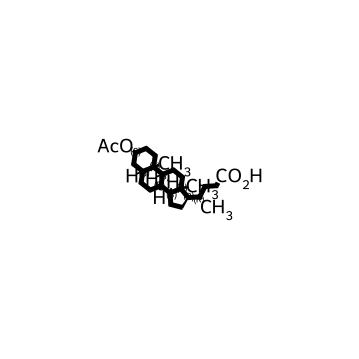 CC(=O)O[C@H]1CC[C@@]2(C)[C@@H](CC[C@@H]3[C@@H]2CC[C@]2(C)[C@@H]([C@H](C)CCC(=O)O)CC[C@@H]32)C1